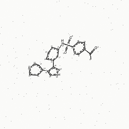 CC(=O)c1ccc(S(=O)(=O)Nc2cccc(-c3n[nH]cc3-c3ccncc3)c2)cc1